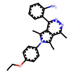 CCOc1ccc(-n2c(C)c3c(C)nnc(-c4ccccc4N)c3c2C)cc1